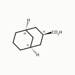 O=C(O)[C@@H]1C[C@@H]2CCC[C@@H](C2)C1